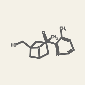 Cc1cccnc1C(=O)N1C2CC(C)CC1(CO)C2